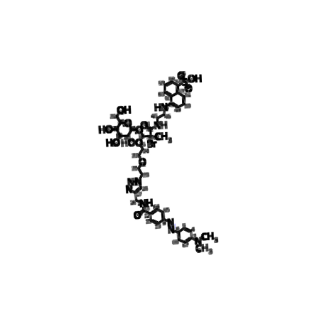 CN(C)c1ccc(/N=N/c2ccc(C(=O)NCc3cn(CCOCCOC(O[C@@H]4O[C@H](CO)[C@H](O)[C@H](O)[C@H]4O)C(C)(Br)C(=O)NCCNc4cccc5c(S(=O)(=O)O)cccc45)nn3)cc2)cc1